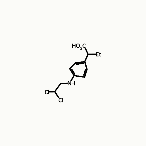 CCC(C(=O)O)c1ccc(NCC(Cl)Cl)cc1